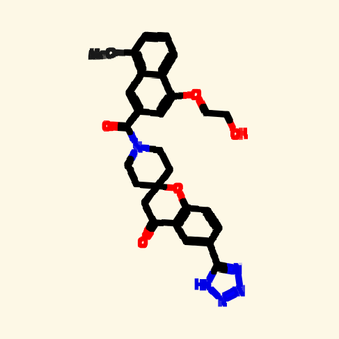 COc1cccc2c(OCCO)cc(C(=O)N3CCC4(CC3)CC(=O)c3cc(-c5nnn[nH]5)ccc3O4)cc12